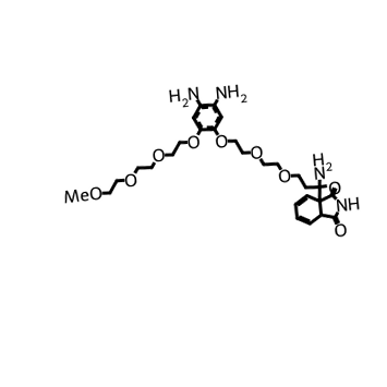 COCCOCCOCCOc1cc(N)c(N)cc1OCCOCCOCCC(C)(N)C12C=CC=CC1C(=O)NC2=O